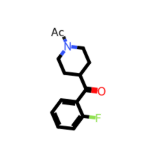 CC(=O)N1CCC(C(=O)c2ccccc2F)CC1